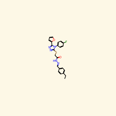 CCc1ccc(C=NNC(=O)CSc2nnc(-c3ccco3)n2-c2ccc(F)cc2)cc1